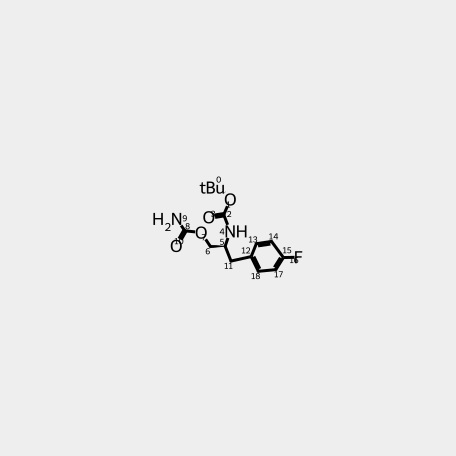 CC(C)(C)OC(=O)N[C@H](COC(N)=O)Cc1ccc(F)cc1